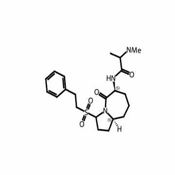 CNC(C)C(=O)N[C@H]1CCC[C@H]2CCC(S(=O)(=O)CCc3ccccc3)N2C1=O